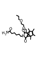 CCCOCCOCCC1(C)C2(C)C(C)=C(C)C1(C)C1C(=O)N(CCCCCC(N)=O)C(=O)C12